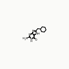 Nc1nc2nc(CC3CCCCC3)[nH]c2c(=O)[nH]1